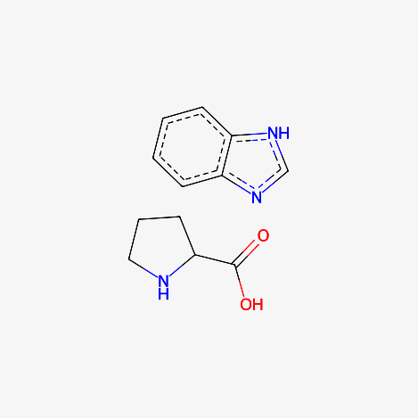 O=C(O)C1CCCN1.c1ccc2[nH]cnc2c1